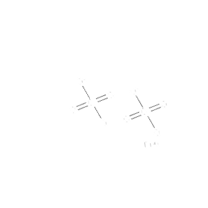 [O]=[Cr](=[O])([O-])[O-].[O]=[Cr](=[O])([O-])[O-].[Pt+4]